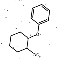 O=[N+]([O-])C1CCCCN1Oc1ccccc1